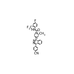 C[C@H]1CN(c2nnc(-c3ccc(C#N)cc3)c3ccccc23)CCN1C(=O)Nc1ccc(F)cc1C(F)(F)F